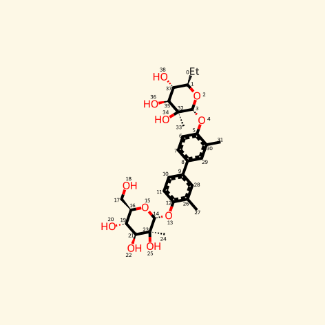 CC[C@H]1O[C@H](Oc2ccc(-c3ccc(O[C@H]4O[C@H](CO)[C@@H](O)[C@H](O)[C@]4(C)O)c(C)c3)cc2C)[C@@](C)(O)[C@@H](O)[C@@H]1O